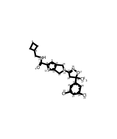 O=C(NCC1CCC1)c1cc2c(s1)CN(C1=NOC(c3cc(Cl)cc(Cl)c3)(C(F)(F)F)C1)C2